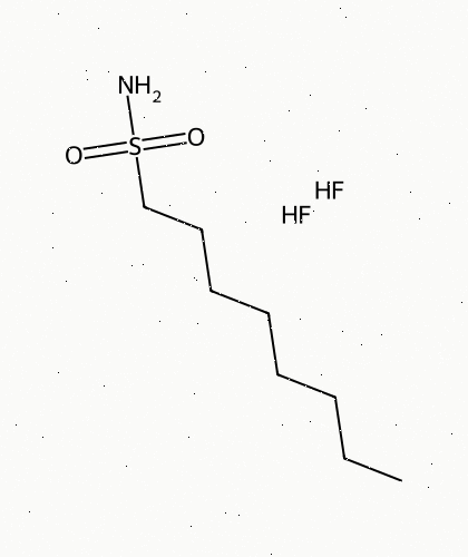 CCCCCCCCS(N)(=O)=O.F.F